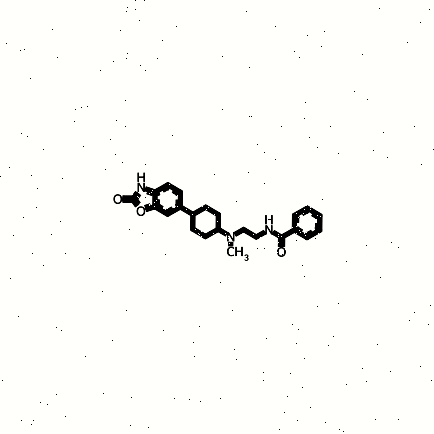 CN(CCNC(=O)c1ccccc1)C1CCC(c2ccc3[nH]c(=O)oc3c2)CC1